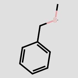 C[B]Cc1ccccc1